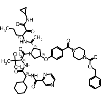 C=C(N[C@@H](CCC)C(=O)C(=O)NC1CC1)[C@@H]1C[C@@H](Oc2ccc(C(=O)N3CCN(C(=O)OCc4ccccc4)CC3)cc2)CN1C(=O)[C@@H](NC(=O)[C@@H](NC(=O)c1cnccn1)C1CCCCC1)C(C)(C)C